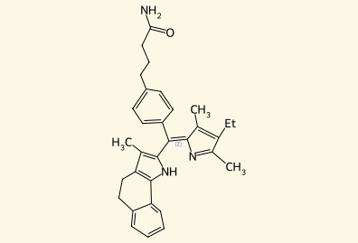 CCC1=C(C)/C(=C(\c2ccc(CCCC(N)=O)cc2)c2[nH]c3c(c2C)CCc2ccccc2-3)N=C1C